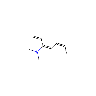 C=C/C(=C\C=C/C)N(C)C